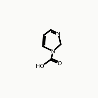 O=C(O)N1C=CC=NC1